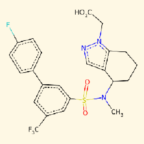 CN(C1CCCc2c1cnn2CC(=O)O)S(=O)(=O)c1cc(-c2ccc(F)cc2)cc(C(F)(F)F)c1